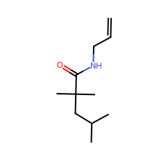 C=CCNC(=O)C(C)(C)CC(C)C